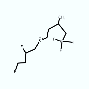 CC(CC[SiH2]CC(F)CCF)C[Si](F)(F)F